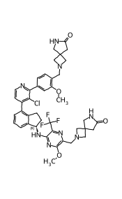 COc1cc(-c2nccc(-c3cccc4c3CC[C@H]4Nc3nc(OC)c(CN4CC5(CNC(=O)C5)C4)nc3C(F)(F)F)c2Cl)ccc1CN1CC2(CNC(=O)C2)C1